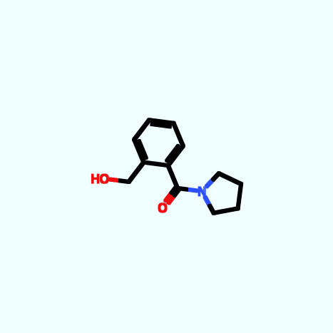 O=C(c1ccccc1CO)N1CCCC1